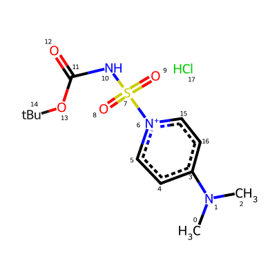 CN(C)c1cc[n+](S(=O)(=O)NC(=O)OC(C)(C)C)cc1.Cl